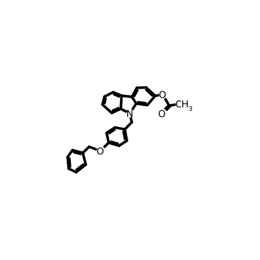 CC(=O)Oc1ccc2c3ccccc3n(Cc3ccc(OCc4ccccc4)cc3)c2c1